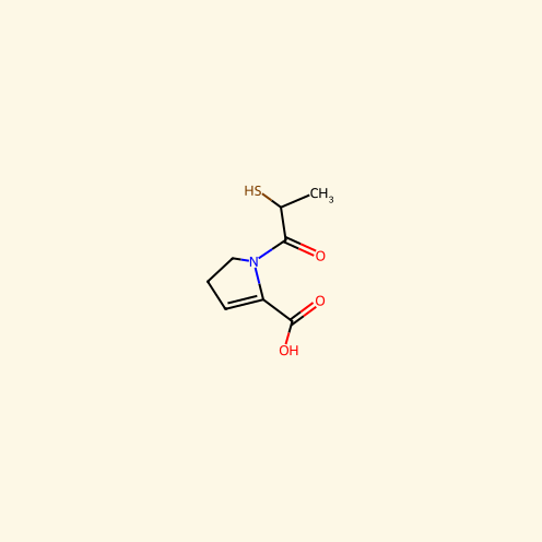 CC(S)C(=O)N1CCC=C1C(=O)O